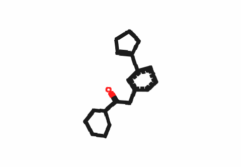 O=C(Cc1cccc(C2=CCCC2)c1)C1CCCCC1